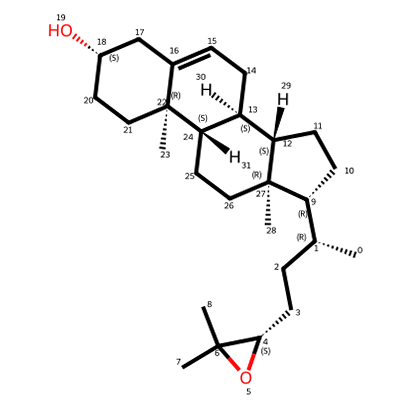 C[C@H](CC[C@@H]1OC1(C)C)[C@H]1CC[C@H]2[C@@H]3CC=C4C[C@@H](O)CC[C@]4(C)[C@H]3CC[C@]12C